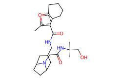 Cc1oc2c(c1C(=O)NCC1CC3CCC(C1)N3CC(=O)NC(C)(C)CO)CCCC2